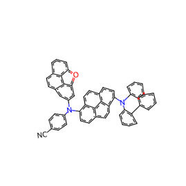 N#Cc1ccc(N(c2cc3ccc4cccc5oc(c2)c3c45)c2ccc3ccc4c(N(c5ccccc5)c5ccccc5-c5ccccc5)ccc5ccc2c3c54)cc1